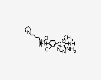 COC(=N)c1c(N)ncnc1Oc1ccc(NC(=O)NCCCCN2CCCC2)c(Cl)c1